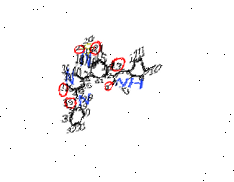 CNC(=O)c1c(-c2ccc(C)cc2)oc2cc(N(C)S(C)(=O)=O)c(-c3cc(-c4nc5ccccc5o4)c(=O)n(C)c3)cc12